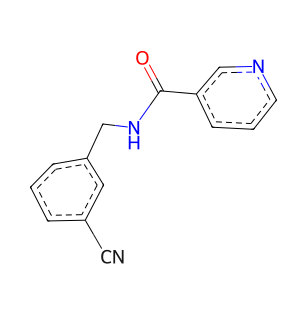 N#Cc1cccc(CNC(=O)c2cccnc2)c1